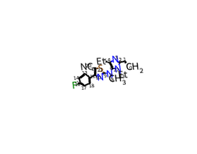 C=Cc1nc(CC)c(N(C)c2nc(-c3ccc(F)cc3)c(C#N)s2)n1CC